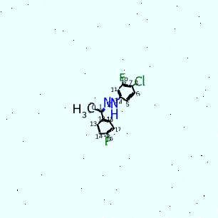 CC(=NNc1ccc(Cl)c(F)c1)c1ccc(F)cc1